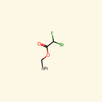 CCCCOC(=O)C(F)Br